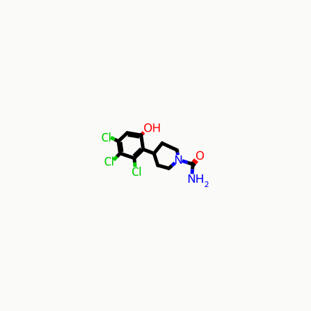 NC(=O)N1CCC(c2c(O)cc(Cl)c(Cl)c2Cl)CC1